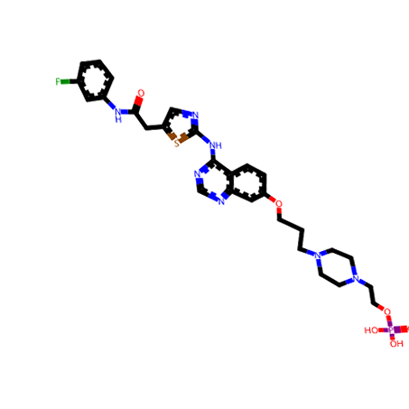 O=C(Cc1cnc(Nc2ncnc3cc(OCCCN4CCN(CCOP(=O)(O)O)CC4)ccc23)s1)Nc1cccc(F)c1